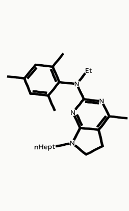 CCCCCCCN1CCc2c(C)nc(N(CC)c3c(C)cc(C)cc3C)nc21